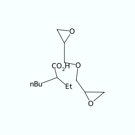 C(OCC1CO1)C1CO1.CCCCC(CC)C(=O)O